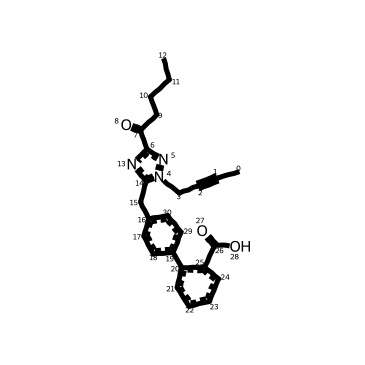 CC#CCn1nc(C(=O)CCCC)nc1Cc1ccc(-c2ccccc2C(=O)O)cc1